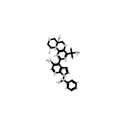 C[C@@H]1COC[C@H]2COc3c(nc(-c4c(N)cnc5c4ccn5[S+]([O-])c4ccccc4)nc3C(C)(C)O)N21